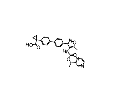 Cc1onc(-c2ccc(-c3ccc(C4(C(=O)O)CC4)cc3)cc2)c1NC(=O)OC(C)c1cnccn1